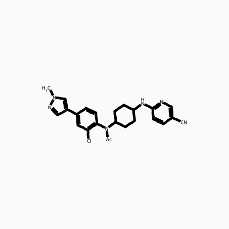 CC(=O)N(c1ccc(-c2cnn(C)c2)cc1Cl)C1CCC(Nc2ccc(C#N)cn2)CC1